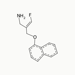 NCC(=CF)COc1cccc2ccccc12